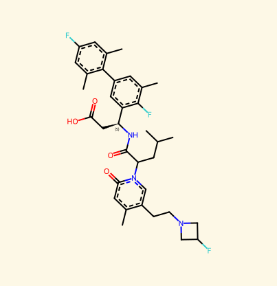 Cc1cc(=O)n(C(CC(C)C)C(=O)N[C@@H](CC(=O)O)c2cc(-c3c(C)cc(F)cc3C)cc(C)c2F)cc1CCN1CC(F)C1